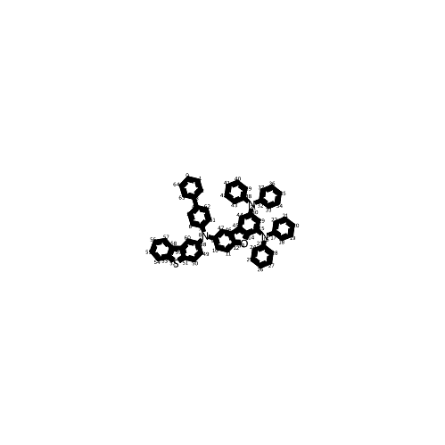 c1ccc(-c2ccc(N(c3ccc4oc5c(N(c6ccccc6)c6ccccc6)cc(N(c6ccccc6)c6ccccc6)cc5c4c3)c3ccc4sc5ccccc5c4c3)cc2)cc1